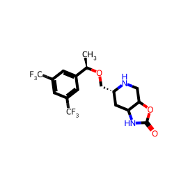 C[C@@H](OC[C@H]1CC2NC(=O)OC2CN1)c1cc(C(F)(F)F)cc(C(F)(F)F)c1